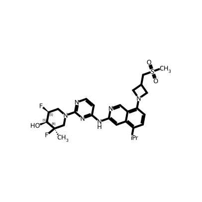 CC(C)c1ccc(N2CC(CS(C)(=O)=O)C2)c2cnc(Nc3ccnc(N4C[C@H](F)[C@H](O)[C@](C)(F)C4)n3)cc12